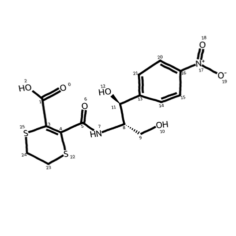 O=C(O)C1=C(C(=O)N[C@@H](CO)[C@@H](O)c2ccc([N+](=O)[O-])cc2)SCCS1